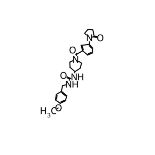 COc1ccc(CNC(=O)NC2CCN(C(=O)c3cccc(N4CCCC4=O)c3)CC2)cc1